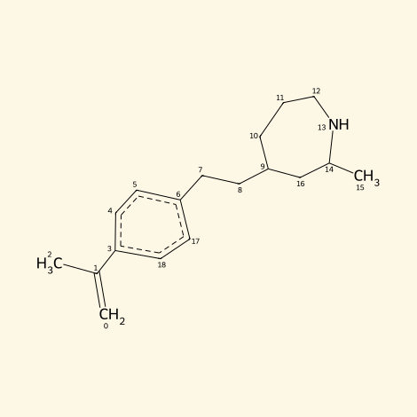 C=C(C)c1ccc(CCC2CCCNC(C)C2)cc1